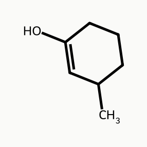 CC1C=C(O)CCC1